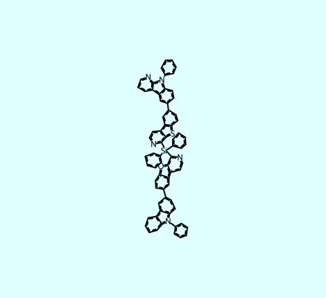 c1ccc(-n2c3ccccc3c3cc(-c4ccc5oc6c([Si](c7ccccc7)(c7ccccc7)c7nccc8c7sc7ccc(-c9ccc%10c(c9)c9cccnc9n%10-c9ccccc9)cc78)nccc6c5c4)ccc32)cc1